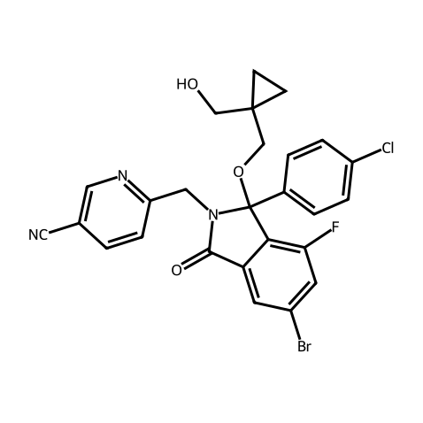 N#Cc1ccc(CN2C(=O)c3cc(Br)cc(F)c3C2(OCC2(CO)CC2)c2ccc(Cl)cc2)nc1